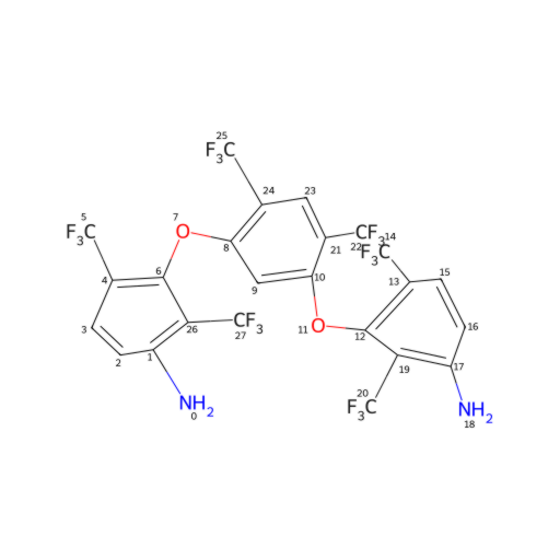 Nc1ccc(C(F)(F)F)c(Oc2cc(Oc3c(C(F)(F)F)ccc(N)c3C(F)(F)F)c(C(F)(F)F)cc2C(F)(F)F)c1C(F)(F)F